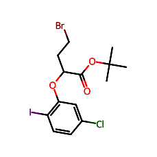 CC(C)(C)OC(=O)C(CCBr)Oc1cc(Cl)ccc1I